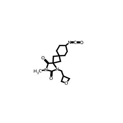 CN1C(=O)N(CC2COC2)C2(CC3(CCC(N=C=O)CC3)C2)C1=O